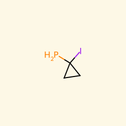 PC1(I)CC1